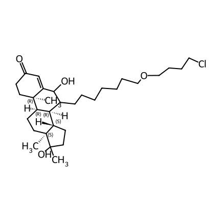 CC1(O)CC[C@H]2[C@@H]3C(CCCCCCCOCCCCCl)C(O)C4=CC(=O)CC[C@]4(C)[C@@H]3CC[C@@]21C